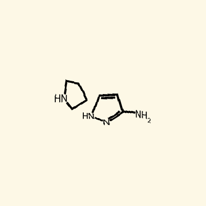 C1CCNC1.Nc1cc[nH]n1